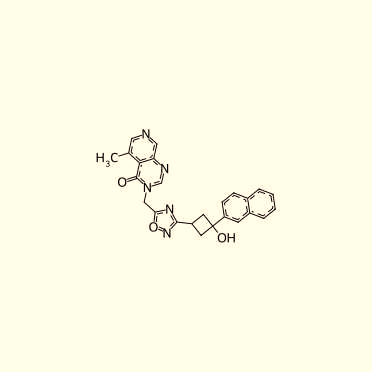 Cc1cncc2ncn(Cc3nc(C4CC(O)(c5ccc6ccccc6c5)C4)no3)c(=O)c12